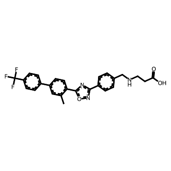 Cc1cc(-c2ccc(C(F)(F)F)cc2)ccc1-c1nc(-c2ccc(CNCCC(=O)O)cc2)no1